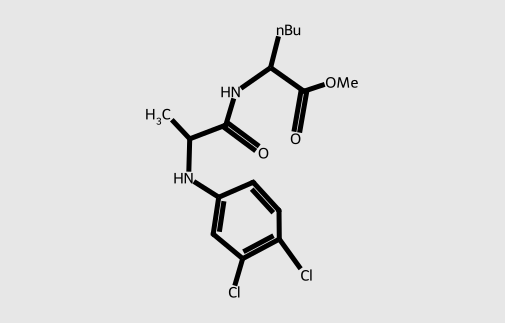 CCCCC(NC(=O)C(C)Nc1ccc(Cl)c(Cl)c1)C(=O)OC